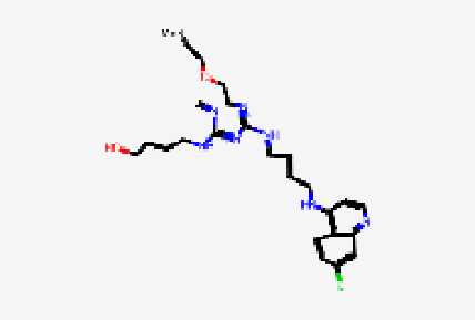 C=N/C(=N\C(=N/CCOCCNC)NCCCCNc1ccnc2cc(Cl)ccc12)NCCCCO